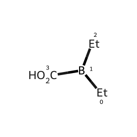 CCB(CC)C(=O)O